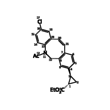 CCOC(=O)[C@H]1C[C@@H]1c1ccc2c(c1)CN(C(C)=O)c1ccc(Cl)cc1/C=C\2